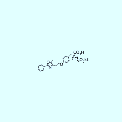 CCOC(=O)CC(Cc1ccc(OCCc2nc(-c3ccccc3)oc2C)cc1)(C(=O)O)C(=O)O